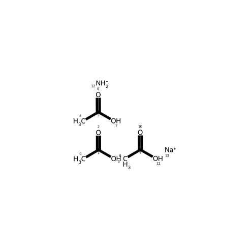 CC(=O)O.CC(=O)O.CC(=O)O.[NH2-].[Na+]